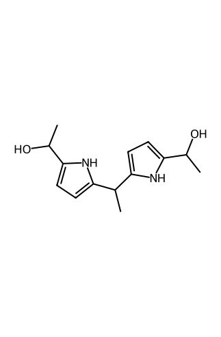 CC(O)c1ccc(C(C)c2ccc(C(C)O)[nH]2)[nH]1